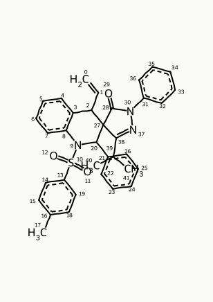 C=CC1c2ccccc2N(S(=O)(=O)c2ccc(C)cc2)C(c2ccccc2)C12C(=O)N(c1ccccc1)N=C2C(C)C